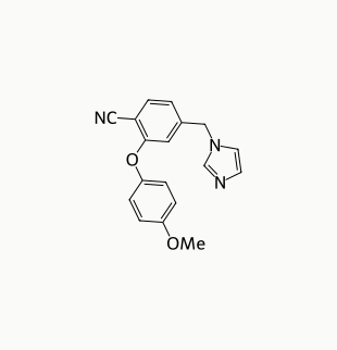 COc1ccc(Oc2cc(Cn3ccnc3)ccc2C#N)cc1